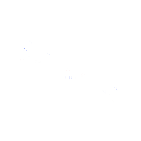 O=C(CC1CCN(c2nccs2)CC1)NOCCCNc1cn[nH]c(=O)c1C(F)(F)F